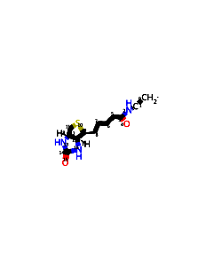 [CH2]CNC(=O)CCCC[C@@H]1SC[C@@H]2NC(=O)N[C@@H]21